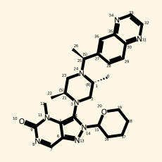 C[C@@H]1CN(c2c3c(cnc(=O)n3C)nn2C2CCCCO2)[C@@H](C)CN1[C@@H](C)c1ccc2nccnc2c1